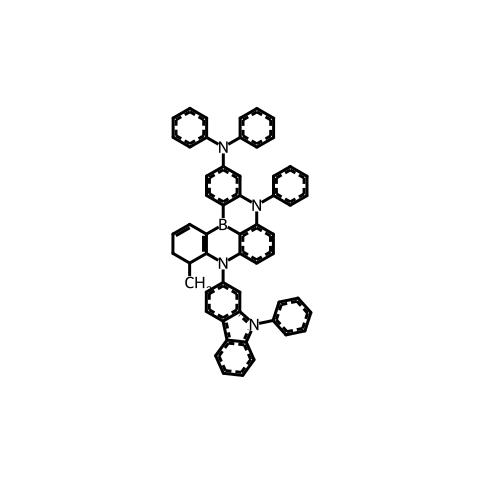 CC1CC=CC2=C1N(c1ccc3c4ccccc4n(-c4ccccc4)c3c1)c1cccc3c1B2c1ccc(N(c2ccccc2)c2ccccc2)cc1N3c1ccccc1